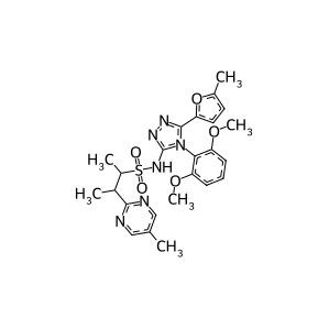 COc1cccc(OC)c1-n1c(NS(=O)(=O)C(C)C(C)c2ncc(C)cn2)nnc1-c1ccc(C)o1